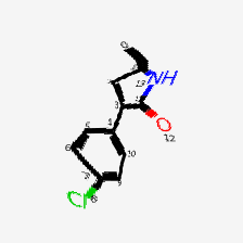 C=C1C=C(c2ccc(Cl)cc2)C(=O)N1